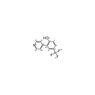 Oc1ccc(C(F)(F)F)cc1-c1ccncc1